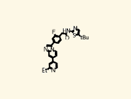 CCc1cc(-c2ccn3c(-c4ccc(CC(=O)Nc5ncc(C(C)(C)C)s5)c(F)c4)cnc3c2)ccn1